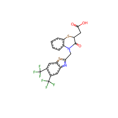 O=C(O)CC1Sc2ccccc2N(Cc2nc3cc(C(F)(F)F)c(C(F)(F)F)cc3s2)C1=O